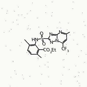 CCOC(=O)c1c(C)ccc(C)c1NS(=O)(=O)c1nc2nc(C)cc(C(F)(F)F)n2n1